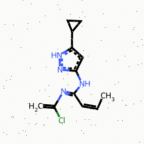 C=C(Cl)/N=C(\C=C/C)Nc1cc(C2CC2)[nH]n1